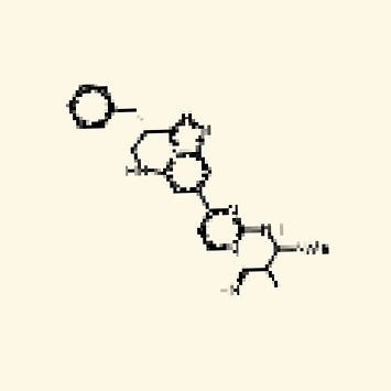 CNC(Nc1nccc(-c2cc3n4c(nnc4c2)[C@@H](Cc2ccccc2)CN3)n1)C(C)C=N